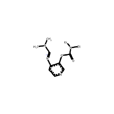 CCN(CC)C(=O)Oc1cnccc1/N=C/N(C)C